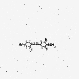 CCc1cc(Br)ccc1C#Cc1cc(F)c(N)c(F)c1